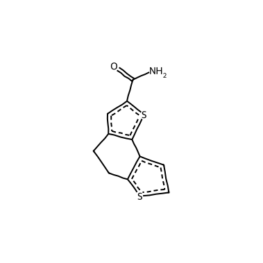 NC(=O)c1cc2c(s1)-c1ccsc1CC2